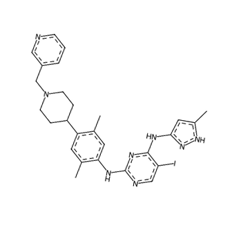 Cc1cc(Nc2nc(Nc3cc(C)c(C4CCN(Cc5cccnc5)CC4)cc3C)ncc2I)n[nH]1